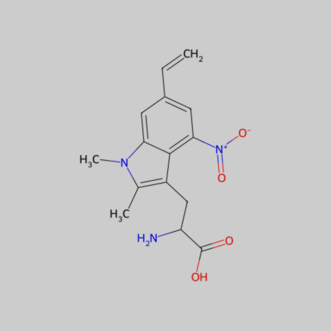 C=Cc1cc([N+](=O)[O-])c2c(CC(N)C(=O)O)c(C)n(C)c2c1